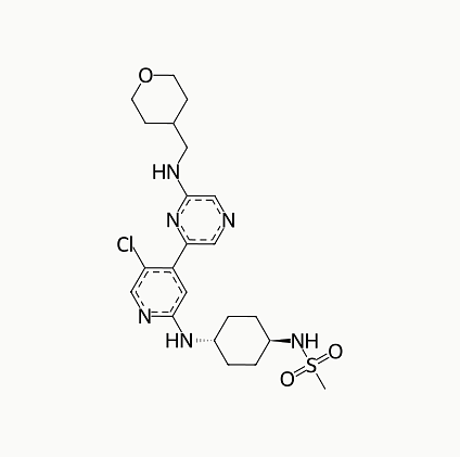 CS(=O)(=O)N[C@H]1CC[C@H](Nc2cc(-c3cncc(NCC4CCOCC4)n3)c(Cl)cn2)CC1